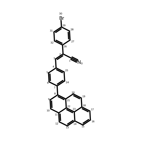 N#CC(=Cc1ccc(-c2ccc3ccc4cccc5ccc2c3c45)cc1)c1ccc(Br)cc1